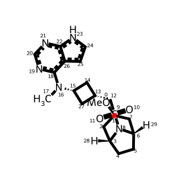 CO[C@@H]1C[C@H]2CC[C@@H](C1)N2S(=O)(=O)C[C@H]1C[C@@H](N(C)c2ncnc3[nH]ccc23)C1